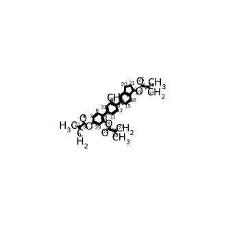 C=C(C)C(=O)Oc1ccc(-c2ccc(-c3ccc4c(c3)CCC4OC(=O)C(=C)C)c(C)c2)c(OC(=O)C(=C)C)c1